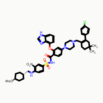 CO[C@H]1CC[C@H](CNc2ccc(S(=O)(=O)NC(=O)c3ccc(N4CCN(CC5=C(c6ccc(Cl)cc6)CC(C)(C)CC5)CC4)cc3Oc3cccc4[nH]cnc34)cc2[N+](=O)[O-])CC1